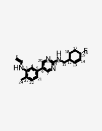 C=CNc1cc(-c2cnc(NCC3C=C[C@@H](F)CC3)nc2)ccc1C